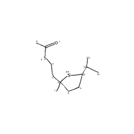 CC(=O)SCCC1(C)CCC(C(C)C)S1